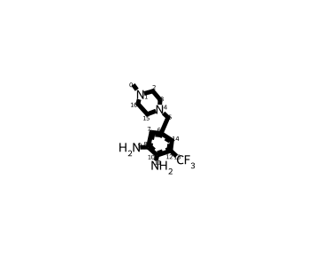 CN1CCN(Cc2cc(N)c(N)c(C(F)(F)F)c2)CC1